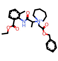 CCOC(=O)c1cccc(C)c1NC(=O)C(C)[N+]1(CC(=O)OCc2ccccc2)CCCCCC1